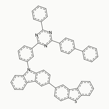 c1ccc(-c2ccc(-c3nc(-c4ccccc4)nc(-c4cccc(-n5c6ccccc6c6cc(-c7ccc8sc9ccccc9c8c7)ccc65)c4)n3)cc2)cc1